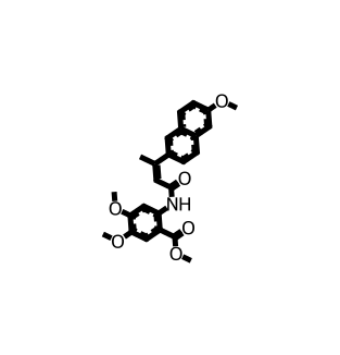 COC(=O)c1cc(OC)c(OC)cc1NC(=O)/C=C(/C)c1ccc2cc(OC)ccc2c1